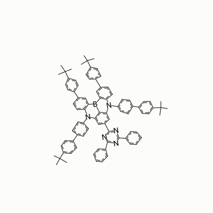 CC(C)(C)c1ccc(-c2ccc(N3c4ccc(-c5ccc(C(C)(C)C)cc5)cc4B4c5cc(-c6ccc(C(C)(C)C)cc6)ccc5N(c5ccc(-c6ccc(C(C)(C)C)cc6)cc5)c5cc(-c6nc(-c7ccccc7)nc(-c7ccccc7)n6)cc3c54)cc2)cc1